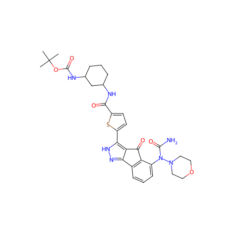 CC(C)(C)OC(=O)NC1CCCC(NC(=O)c2ccc(-c3[nH]nc4c3C(=O)c3c-4cccc3N(C(N)=O)N3CCOCC3)s2)C1